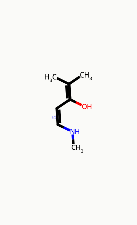 CN/C=C\C(O)=C(C)C